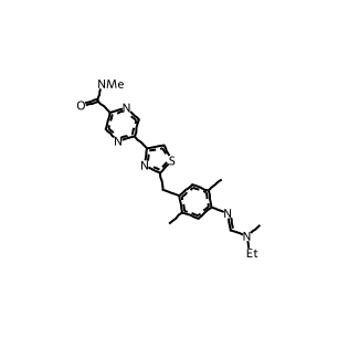 CCN(C)/C=N/c1cc(C)c(Cc2nc(-c3cnc(C(=O)NC)cn3)cs2)cc1C